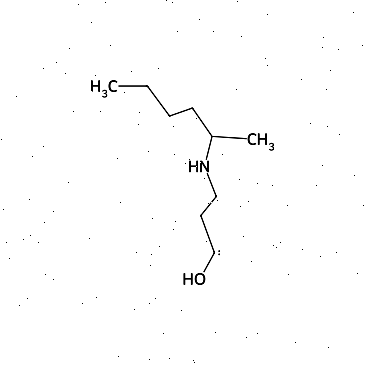 CCCCC(C)NCC[C]O